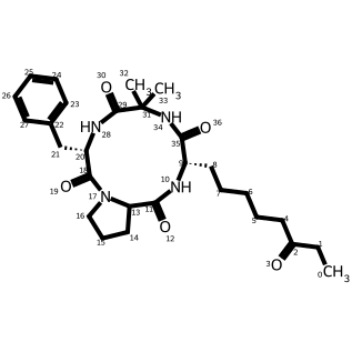 CCC(=O)CCCCC[C@@H]1NC(=O)C2CCCN2C(=O)[C@H](Cc2ccccc2)NC(=O)C(C)(C)NC1=O